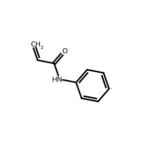 C=CC(=O)Nc1cc[c]cc1